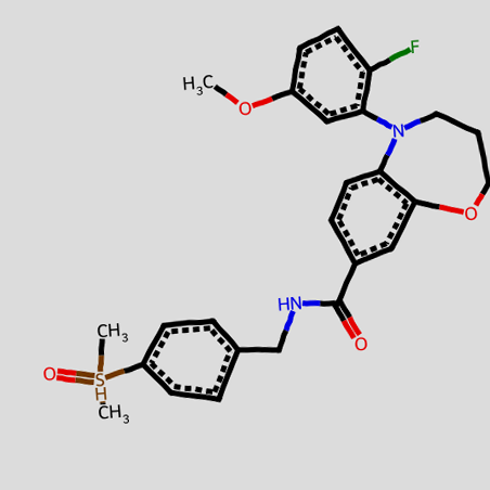 COc1ccc(F)c(N2CCCOc3cc(C(=O)NCc4ccc([SH](C)(C)=O)cc4)ccc32)c1